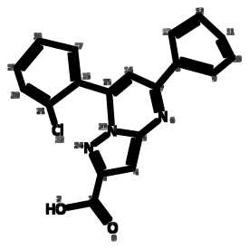 O=C(O)c1cc2nc(-c3ccccc3)cc(-c3ccccc3Cl)n2n1